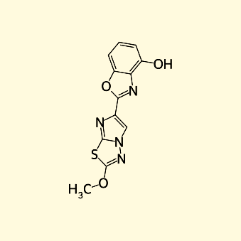 COc1nn2cc(-c3nc4c(O)cccc4o3)nc2s1